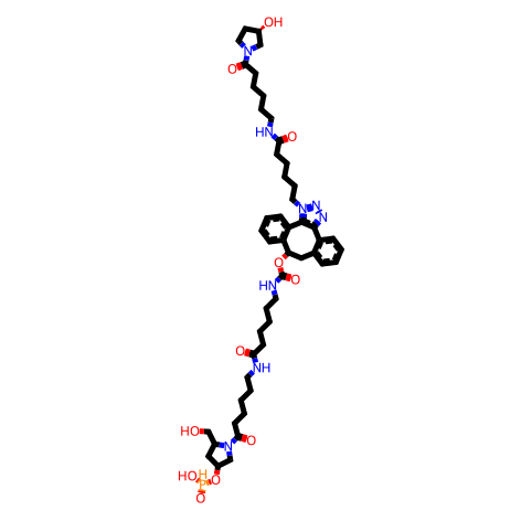 O=C(CCCCCNC(=O)OC1Cc2ccccc2-c2nnn(CCCCCC(=O)NCCCCCC(=O)N3CC[C@@H](O)C3)c2-c2ccccc21)NCCCCCC(=O)N1CC(O[PH](=O)O)CC1CO